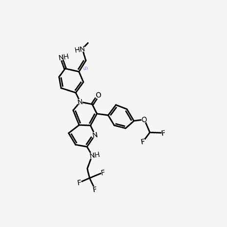 CN/C=C1/C=C(n2cc3ccc(NCC(F)(F)F)nc3c(-c3ccc(OC(F)F)cc3)c2=O)C=CC1=N